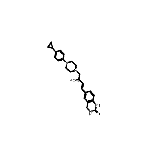 O=C1NCc2cc(C=C[C@@H](O)CN3CCN(c4ccc(C5CC5)cc4)CC3)ccc2N1